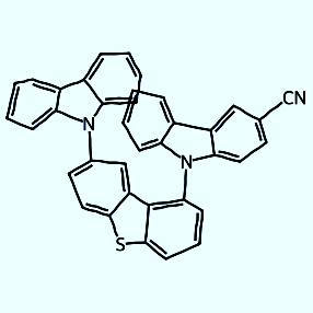 N#Cc1ccc2c(c1)c1ccccc1n2-c1cccc2sc3ccc(-n4c5ccccc5c5ccccc54)cc3c12